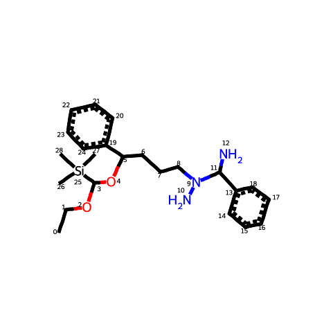 CCOC(OC(CCCN(N)C(N)c1ccccc1)c1ccccc1)[Si](C)(C)C